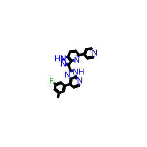 Cc1cc(F)cc(-c2ccnc3[nH]c(-c4n[nH]c5ccc(-c6ccncc6)nc45)nc23)c1